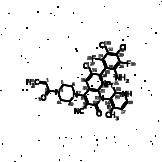 C=CC(=O)N1CCN(c2c(C#N)c(=O)n(C3=C(C)C=CN[C@@H]3C(C)C)c3nc(-c4c(N)c(F)c(Cl)c(Cl)c4F)c(Cl)cc23)CC1